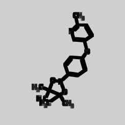 Cc1ccc(Oc2ccc(B3OC(C)(C)C(C)(C)O3)cc2)cn1